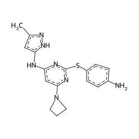 Cc1cc(Nc2cc(N3CCC3)nc(Sc3ccc(N)cc3)n2)[nH]n1